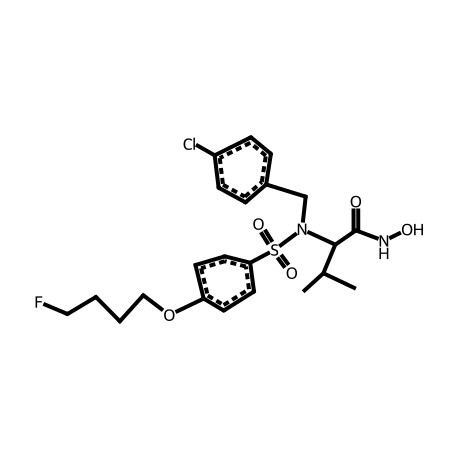 CC(C)C(C(=O)NO)N(Cc1ccc(Cl)cc1)S(=O)(=O)c1ccc(OCCCCF)cc1